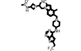 Cc1c(CN2CCC(Nc3ncnc4sc(CC(F)(F)F)cc34)CC2)ccc2c1cc(C#N)n2CC(C)N1CC(N[S+](C)[O-])C1